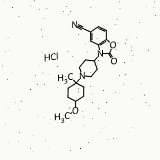 COC1CCC(C)(N2CCC(n3c(=O)oc4ccc(C#N)cc43)CC2)CC1.Cl